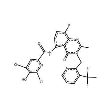 Cc1nc2c(F)ccc(NC(=O)c3cc(Cl)c(O)c(Cl)n3)c2c(=O)n1Cc1ncccc1C(C)(F)F